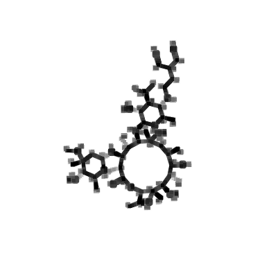 CC[C@H]1OC(=O)[C@H](C)[C@@H](O[C@H]2C[C@@](C)(OC)[C@@H](O)[C@H](C)O2)[C@H](C)[C@@H](O[C@@H]2O[C@H](C)[C@@H](OCCC(C=O)C=O)[C@H](N(C)C)[C@H]2O)[C@](C)(O)C[C@@H](C)C(=O)[C@H](C)[C@@H](O)[C@]1(C)O